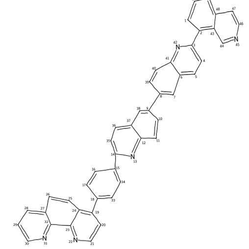 c1cc(-c2ccc3cc(-c4ccc5nc(-c6ccc(-c7ccnc8c7ccc7cccnc78)cc6)ccc5c4)ccc3n2)c2cnccc2c1